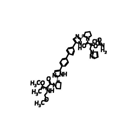 COCN[C@H](C(=O)N1CCC[C@H]1c1ncc(-c2ccc(-c3ccc(-c4cnc([C@@H]5CCCN5C(=O)[C@](C)(Cn5cccn5)OC(N)=O)[nH]4)cc3)cc2)[nH]1)[C@@H](C)OC